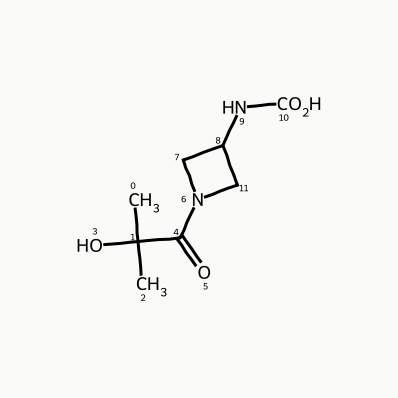 CC(C)(O)C(=O)N1CC(NC(=O)O)C1